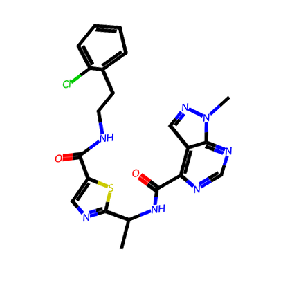 CC(NC(=O)c1ncnc2c1cnn2C)c1ncc(C(=O)NCCc2ccccc2Cl)s1